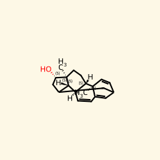 C[C@@]12CC[C@H]3[C@H]4C=CC5=CC(C=C[C@@]53C)CC(C[C@@H]1O)[C@@H]42